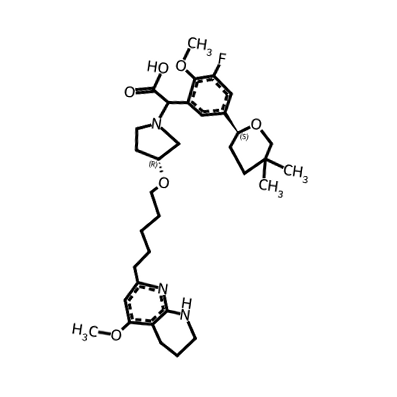 COc1cc(CCCCCO[C@@H]2CCN(C(C(=O)O)c3cc([C@@H]4CCC(C)(C)CO4)cc(F)c3OC)C2)nc2c1CCCN2